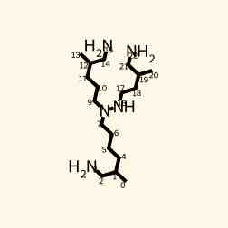 CC(CN)CCCCN(CCCC(C)CN)NCCC(C)CN